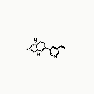 C=Cc1cncc(C2=C[C@H]3CNC[C@H]3CC2)c1